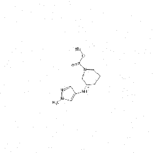 Cn1cc(N[C@H]2CCCN(C(=O)OC(C)(C)C)C2)cn1